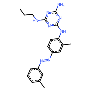 CCCNc1nc(N)nc(Nc2ccc(N=Nc3cccc(C)c3)cc2C)n1